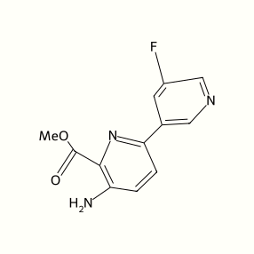 COC(=O)c1nc(-c2cncc(F)c2)ccc1N